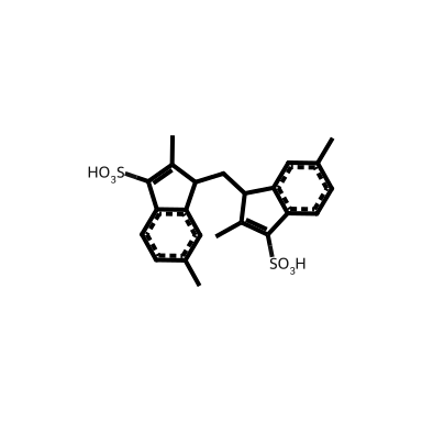 CC1=C(S(=O)(=O)O)c2ccc(C)cc2C1CC1C(C)=C(S(=O)(=O)O)c2ccc(C)cc21